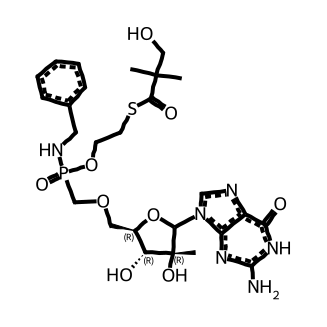 CC(C)(CO)C(=O)SCCOP(=O)(COC[C@H]1OC(n2cnc3c(=O)[nH]c(N)nc32)[C@](C)(O)[C@@H]1O)NCc1ccccc1